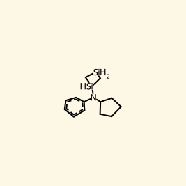 c1ccc(N(C2CCCC2)[SiH]2C[SiH2]C2)cc1